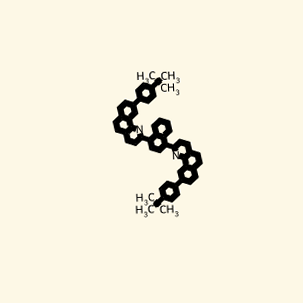 CC(C)(C)c1ccc(-c2ccc3ccc4ccc(-c5ccc(-c6ccc7ccc8ccc(-c9ccc(C(C)(C)C)cc9)cc8c7n6)c6ccccc56)nc4c3c2)cc1